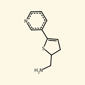 NCC1CC=C(c2cccnc2)S1